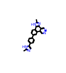 Cc1ncc(-c2ccc(-c3ccc4c(c3)c3cnncc3c3nc(C)[nH]c43)cc2)[nH]1